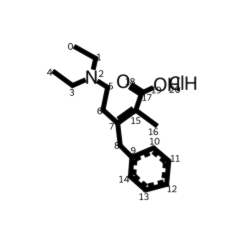 CCN(CC)CCC(Cc1ccccc1)=C(C)C(=O)O.Cl